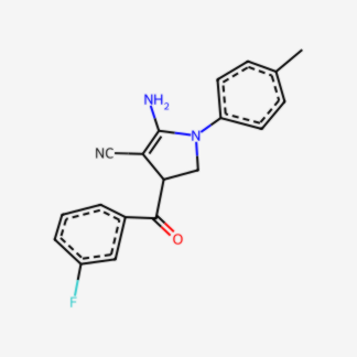 Cc1ccc(N2CC(C(=O)c3cccc(F)c3)C(C#N)=C2N)cc1